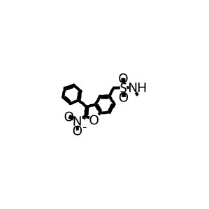 CNS(=O)(=O)Cc1ccc2oc([N+](=O)[O-])c(-c3ccccc3)c2c1